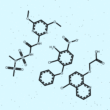 COc1cc(OC)nc(NC(=O)NS(=O)(=O)N(C)S(C)(=O)=O)n1.Nc1c([N+](=O)[O-])ccc(Oc2ccccc2)c1Cl.O=C(O)COc1ccc(Cl)c2cccnc12